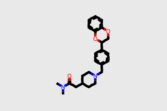 CN(C)C(=O)CC1CCN(Cc2ccc(C3COc4ccccc4O3)cc2)CC1